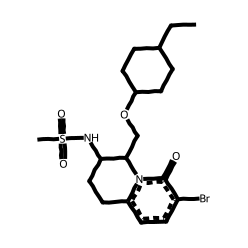 CCC1CCC(OCC2C(NS(C)(=O)=O)CCc3ccc(Br)c(=O)n32)CC1